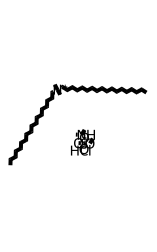 CCCCCCCCCCCCCCCCCC[N+](C)(C)CCCCCCCCCCCCCCCCCC.CNC.COS(=O)(=O)[O-].Cl